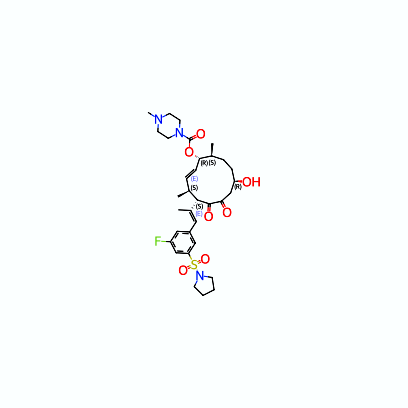 C/C(=C\c1cc(F)cc(S(=O)(=O)N2CCCC2)c1)[C@H]1C(=O)C(=O)C[C@H](O)CC[C@H](C)[C@@H](OC(=O)N2CCN(C)CC2)/C=C/[C@@H]1C